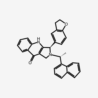 C[C@H](c1cccc2ccccc12)N1Cc2c([nH]c3ccccc3c2=O)[C@H]1c1ccc2c(c1)CCO2